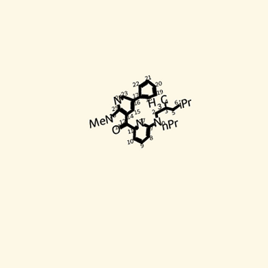 CCCN(C[C@@H](C)CC(C)C)c1cccc(C(=O)c2cc(-c3ccccc3)cnc2NC)n1